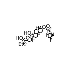 CCO[C@@H](C1C[C@@H](C)[C@H]2C(O1)[C@H](O)[C@@]1(C)C3CC[C@H]4C(C)(C)[C@@H](O[C@H]5CN(c6ncc(F)cn6)CCO5)CCC45C[C@@]35CC[C@]21C)C(C)(C)O